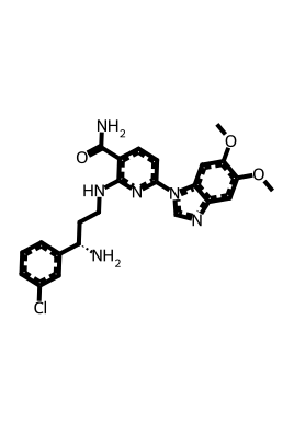 COc1cc2ncn(-c3ccc(C(N)=O)c(NCC[C@H](N)c4cccc(Cl)c4)n3)c2cc1OC